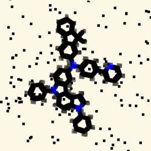 CC1(C)c2ccccc2-c2ccc(N(c3ccc(-c4ccccn4)cc3)c3ccc4c(c3)c3c5ccn(-c6ccccc6)c5ccc3n4-c3ccccc3)cc21